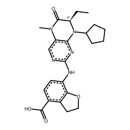 CC[C@@H]1C(=O)N(C)c2cnc(Nc3ccc(C(=O)O)c4c3OCC4)nc2N1C1CCCC1